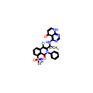 CCS(=N)(=O)c1cccc2c(Cl)c([C@H](C)Nc3ncnc4[nH]ccc(=O)c34)n(-c3ccccc3)c(=O)c12